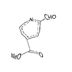 COC(=O)c1ccnc(C=O)c1